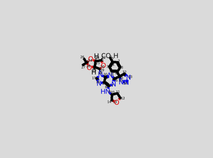 Cc1ccc(C2(c3nc(NC4CCOC4)c4ncn([C@@H]5O[C@H](C(=O)O)[C@@H]6OC(C)(C)O[C@H]65)c4n3)C=NN=N2)cc1